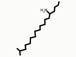 CCCCC(N)CCCCCCCCCCCC(C)C